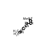 COc1cc2c(-c3cnn4cc(N5CCC(N6C7[C@H]6CN(C)[C@H]7C)CC5)cnc34)ccnc2cc1F